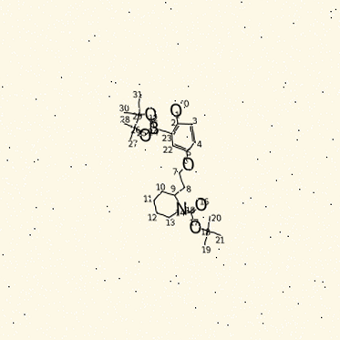 COc1ccc(OCCC2CCCCN2C(=O)OC(C)(C)C)cc1B1OC(C)(C)C(C)(C)O1